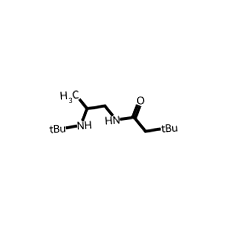 CC(CNC(=O)CC(C)(C)C)NC(C)(C)C